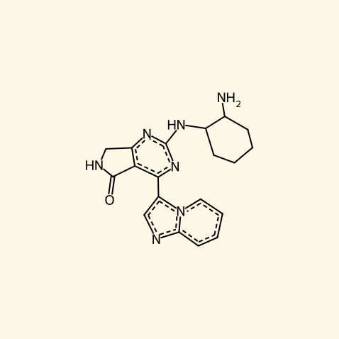 NC1CCCCC1Nc1nc2c(c(-c3cnc4ccccn34)n1)C(=O)NC2